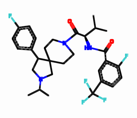 CC(C)[C@@H](NC(=O)c1cc(C(F)(F)F)ccc1F)C(=O)N1CCC2(CC1)CN(C(C)C)CC2c1ccc(F)cc1